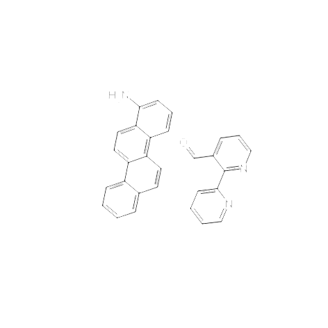 Nc1cccc2c1ccc1c3ccccc3ccc21.O=Cc1cccnc1-c1ccccn1